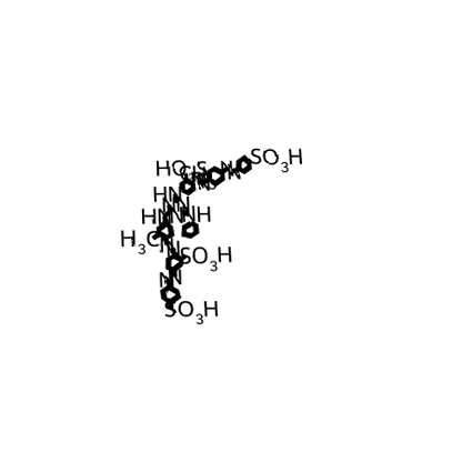 Cc1cc(Nc2nc(Nc3ccccc3)nc(Nc3ccc(N=Nc4ccc(N=Nc5ccc(S(=O)(=O)O)cc5)cc4S(=O)(=O)O)c(C)c3)n2)ccc1N=Nc1ccc(N=Nc2ccc(S(=O)(=O)O)cc2)cc1S(=O)(=O)O